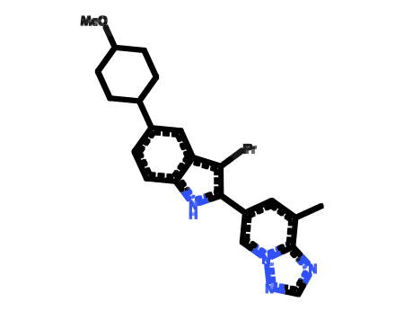 COC1CCC(c2ccc3[nH]c(-c4cc(C)c5ncnn5c4)c(C(C)C)c3c2)CC1